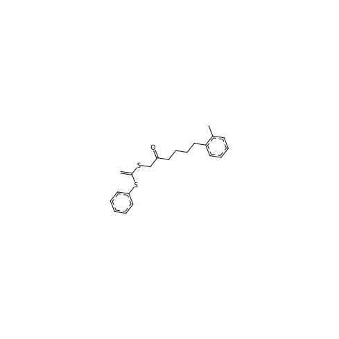 C=C(SCC(=O)CCCCc1ccccc1C)Sc1ccccc1